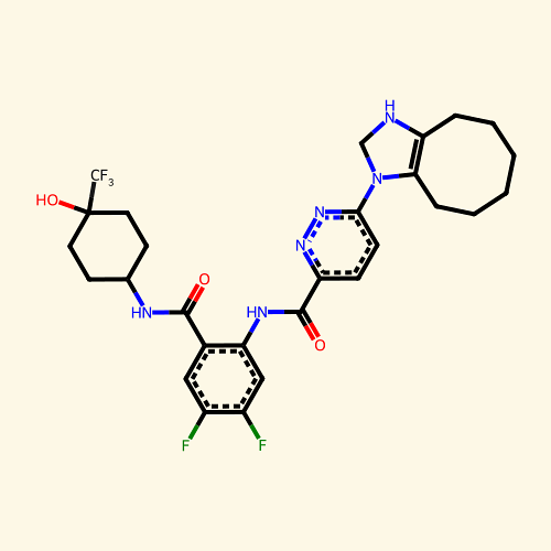 O=C(Nc1cc(F)c(F)cc1C(=O)NC1CCC(O)(C(F)(F)F)CC1)c1ccc(N2CNC3=C2CCCCCC3)nn1